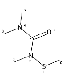 CSN(C)C(=O)N(C)C